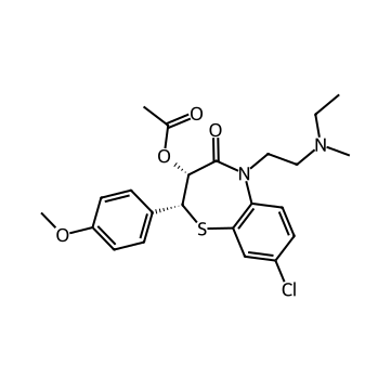 CCN(C)CCN1C(=O)[C@@H](OC(C)=O)[C@@H](c2ccc(OC)cc2)Sc2cc(Cl)ccc21